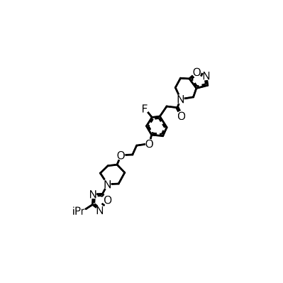 CC(C)c1noc(N2CCC(OCCOc3ccc(CC(=O)N4CCc5oncc5C4)c(F)c3)CC2)n1